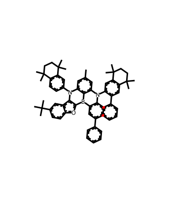 Cc1cc2c3c(c1)N(c1ccc4c(c1)C(C)(C)CCC4(C)C)c1c(oc4ccc(C(C)(C)C)cc14)B3c1cc(-c3ccccc3)ccc1N2c1cc2c(cc1-c1ccccc1)C(C)(C)CCC2(C)C